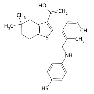 C=C(O)c1c(C(/C=C\C)=C(/C)CNc2ccc(S)cc2)sc2c1CC(C)(C)CC2